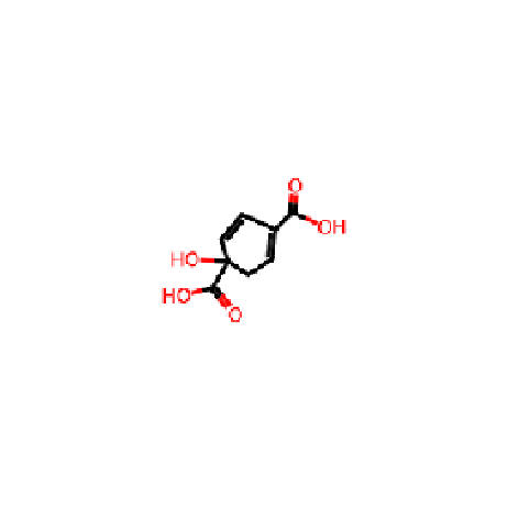 O=C(O)C1=CCC(O)(C(=O)O)C=C1